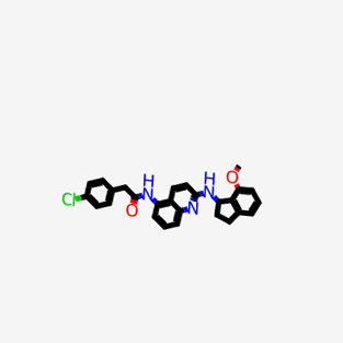 COc1cccc2c1C(Nc1ccc3c(NC(=O)Cc4ccc(Cl)cc4)cccc3n1)CC2